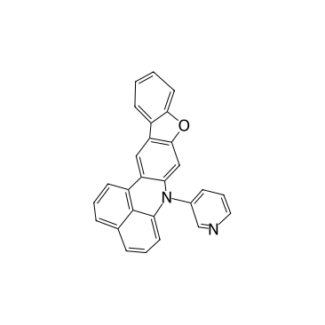 c1cncc(N2c3cc4oc5ccccc5c4cc3-c3cccc4cccc2c34)c1